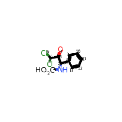 O=C(O)NC(C(=O)C(Cl)Cl)c1ccccc1